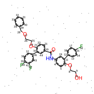 O=C(Nc1ccc(OCCO)c(-c2ccc(F)cc2)c1)c1ccc(OCCOCc2ccccc2)c(-c2ccc(F)c(F)c2)c1